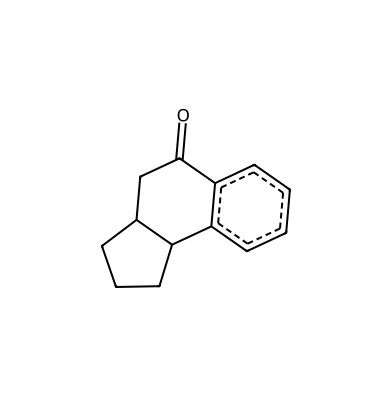 O=C1CC2CCCC2c2ccccc21